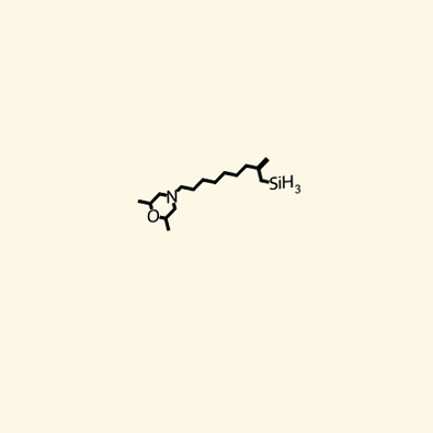 C=C(C[SiH3])CCCCCCCN1CC(C)OC(C)C1